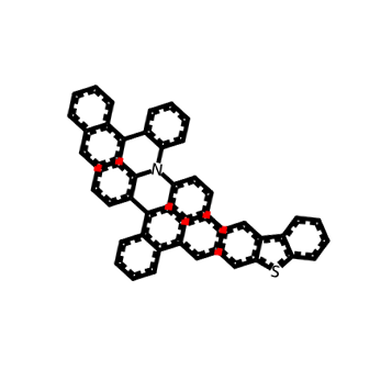 c1ccc(N(c2ccc(-c3ccc4sc5ccccc5c4c3)cc2)c2ccccc2-c2cc3ccccc3c3ccccc23)c(-c2cccc3ccccc23)c1